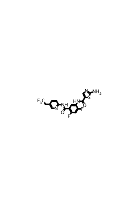 Nc1ncc(C(=O)Nc2cc(C(=O)Nc3ccc(CC(F)(F)F)cn3)c(F)cc2F)s1